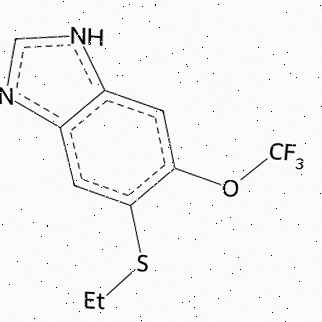 CCSc1cc2nc[nH]c2cc1OC(F)(F)F